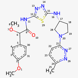 COc1ccc(C(OC)C(=O)Nc2nnc(N[C@@H]3CCN(c4ccc(C)nn4)C3)s2)cc1